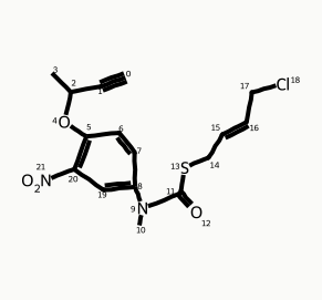 C#CC(C)Oc1ccc(N(C)C(=O)SCC=CCCl)cc1[N+](=O)[O-]